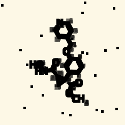 COC(=O)[C@]1(c2cccc(OCc3ccncc3)c2)C[C@H]1C(=O)NO